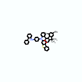 CC(C)(C)c1cc(C(C)(C)C)c2c(c1)C(C)(C)c1cccc(-c3ccccc3N(c3ccc(Nc4ccccc4-c4ccccc4)cc3)c3ccc4c(c3)sc3ccccc34)c1-2